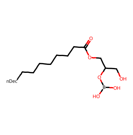 CCCCCCCCCCCCCCCCCC(=O)OCC(CO)OB(O)O